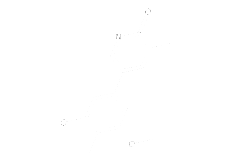 COc1cc(-c2cc(C)c(=O)n(C)c2)cc(OC)c1C